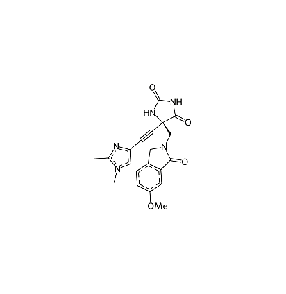 COc1ccc2c(c1)C(=O)N(C[C@@]1(C#Cc3cn(C)c(C)n3)NC(=O)NC1=O)C2